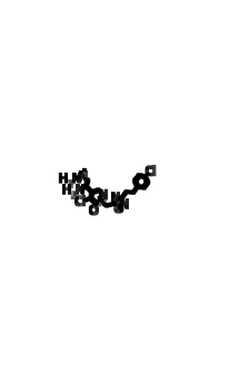 CN(N)/C=C(\N)c1cnn(Cc2nc(CCc3ccc(Cl)cc3)no2)c(=O)c1Cl